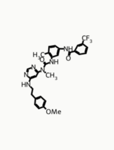 COc1ccc(CCNc2cc(N(C)C(=O)Nc3cc(NC(=O)c4cccc(C(F)(F)F)c4)ccc3C)ncn2)cc1